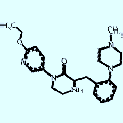 CCOc1ccc(N2CCNC(Cc3ccccc3N3CCN(C)CC3)C2=O)cn1